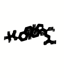 C[C@H](CCC(=O)O)[C@H]1CC[C@H]2[C@@H]3CC=C4C[C@@H](OC(=O)C(F)(F)F)CC[C@]4(C)[C@H]3CC[C@]12C